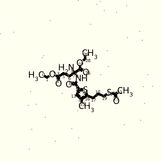 CCOC(=O)CC[C@@](N)(NC(=O)c1cc(C)c(CCCSC(C)=O)s1)C(=O)OCC